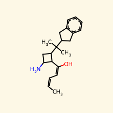 C/C=C\C=C(\O)C1C(N)CC1C(C)(C)C1Cc2ccccc2C1